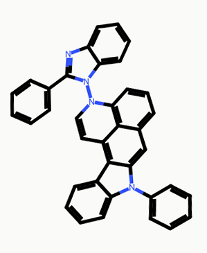 C1=CN(n2c(-c3ccccc3)nc3ccccc32)c2cccc3cc4c(c1c23)c1ccccc1n4-c1ccccc1